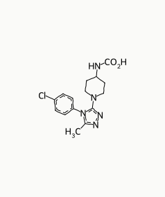 Cc1nnc(N2CCC(NC(=O)O)CC2)n1-c1ccc(Cl)cc1